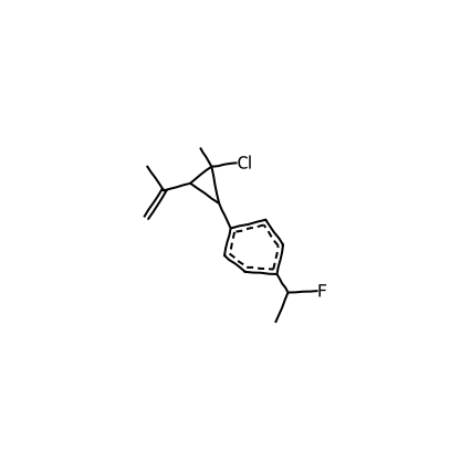 C=C(C)C1C(c2ccc(C(C)F)cc2)C1(C)Cl